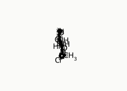 Cc1cc(Cl)ccc1OCC(=O)NNC(=S)NC(=O)/C=C/c1ccco1